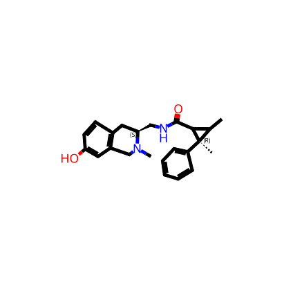 CC1C(C(=O)NC[C@@H]2Cc3ccc(O)cc3CN2C)[C@]1(C)c1ccccc1